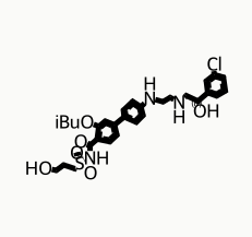 CC(C)COc1cc(-c2ccc(NCCNC[C@H](O)c3cccc(Cl)c3)cc2)ccc1C(=O)NS(=O)(=O)CCCO